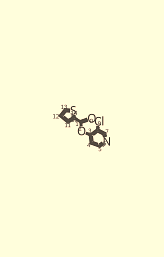 O=C(Oc1c[c]ncc1Cl)c1cccs1